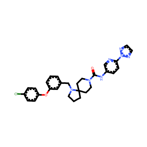 O=C(Nc1ccc(-n2nccn2)nc1)N1CCC2(CCCN2Cc2cccc(Oc3ccc(Cl)cc3)c2)CC1